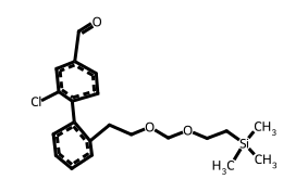 C[Si](C)(C)CCOCOCCc1ccccc1-c1ccc(C=O)cc1Cl